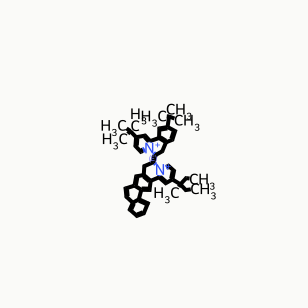 CCC(C)(CC)c1cc[n+]2c(c1)-c1cc3c(ccc4ccccc43)cc1C/C2=C1/Cc2ccc(C(C)(C)C)cc2-c2cc(C(C)(C)C)cc[n+]21